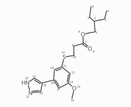 CCC(CC)COC(=O)CCSc1cc(OC)cc(-c2cn[nH]c2)c1